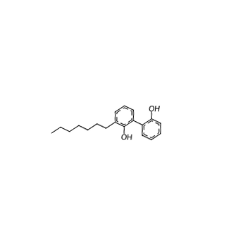 CCCCCCCc1cccc(-c2ccccc2O)c1O